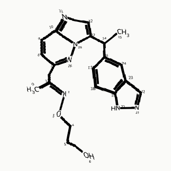 CC(=NOCCO)c1ccc2ncc(C(C)c3ccc4[nH]ncc4c3)n2n1